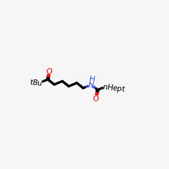 CCCCCCCC(=O)NCCCCCC(=O)C(C)(C)C